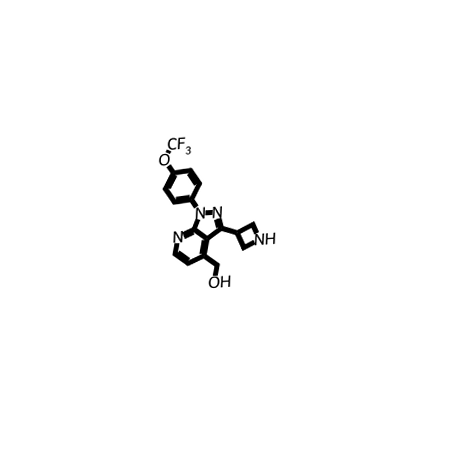 OCc1ccnc2c1c(C1CNC1)nn2-c1ccc(OC(F)(F)F)cc1